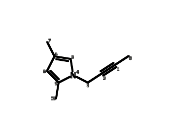 CC#CCn1cc(C)cc1C